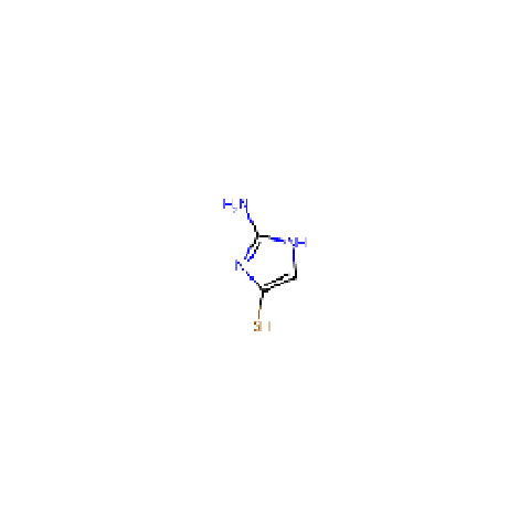 Nc1nc(S)c[nH]1